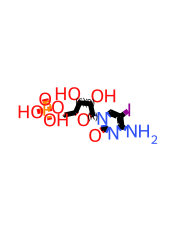 Nc1nc(=O)n([C@@H]2OC(COP(=O)(O)O)[C@@H](O)[C@H]2O)cc1I